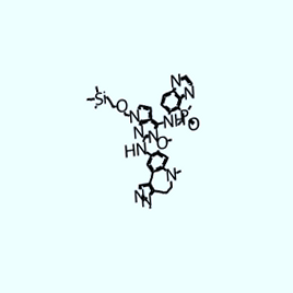 COc1cc2c(cc1Nc1nc(Nc3ccc4nccnc4c3P(C)(C)=O)c3ccn(COCC[Si](C)(C)C)c3n1)-c1cnn(C)c1CCN2C